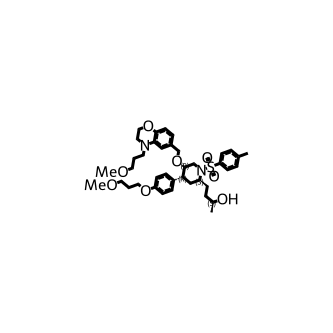 COCCCOc1ccc([C@H]2C[C@H](CC[C@H](C)O)N(S(=O)(=O)c3ccc(C)cc3)C[C@@H]2OCc2ccc3c(c2)N(CCCOC)CCO3)cc1